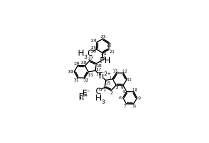 CC1=Cc2c(-c3ccccc3)cccc2[CH]1[Ti+2][CH]1C(Pc2ccccc2C)=Cc2ccccc21.[F-].[F-]